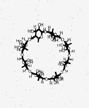 CC1O[C@@H]2O[C@@H]3C(C)O[C@H](O[C@@H]4C(C)O[C@H](O[C@@H]5C(C)O[C@@H](O[C@@H]6C(C)O[C@@H](O[C@@H]7C(C)O[C@H](O[C@@H]8C(C)O[C@H](O[C@@H]9C(C)O[C@H](O[C@H]1[C@H](O)C2O)C(O)[C@H]9O)C(O)[C@H]8O)C(O)[C@H]7O)C(O)[C@H]6O)C(O)[C@H]5O)C(O)[C@H]4O)C(O)[C@H]3O